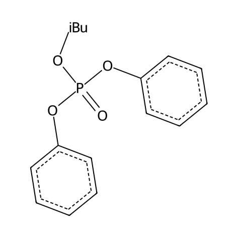 CCC(C)OP(=O)(Oc1ccccc1)Oc1ccccc1